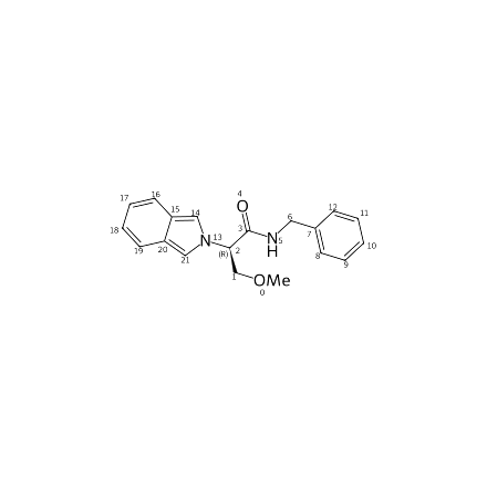 COC[C@H](C(=O)NCc1ccccc1)n1cc2ccccc2c1